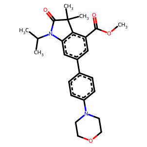 COC(=O)c1cc(-c2ccc(N3CCOCC3)cc2)cc2c1C(C)(C)C(=O)N2C(C)C